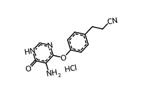 Cl.N#CCCc1ccc(Oc2nc[nH]c(=O)c2N)cc1